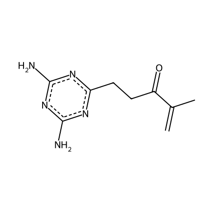 C=C(C)C(=O)CCc1nc(N)nc(N)n1